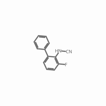 N#CNc1c(F)cccc1-c1ccccc1